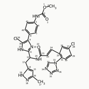 COC(=O)Nc1ccc(-c2nc(C(Cc3cc(C)n[nH]3)NC(=O)C=Cc3cc(Cl)ccc3-n3cnnn3)[nH]c2Cl)cc1